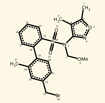 COCN(c1noc(C)c1C)S(=O)(=O)c1ccccc1-c1ccc(CBr)cc1C